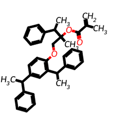 C=C(C)C(=O)OC(C)(COc1ccc(C(C)c2ccccc2)cc1C(C)c1ccccc1)C(C)c1ccccc1